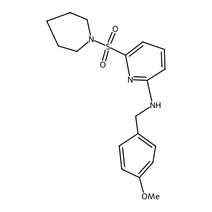 COc1ccc(CNc2cccc(S(=O)(=O)N3CCCCC3)n2)cc1